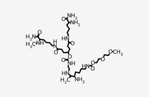 C=C(NCCNC(=O)OC(CCC(=O)NCCCCC(N)C(N)=O)CCC(=O)NCCCCC(NC)C(N)=O)C(N)CCCCNC(=O)OCCOCCOC